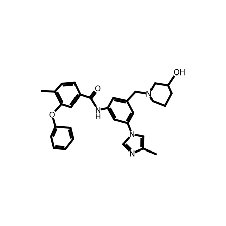 Cc1cn(-c2cc(CN3CCCC(O)C3)cc(NC(=O)c3ccc(C)c(Oc4ccccc4)c3)c2)cn1